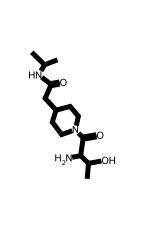 CC(C)NC(=O)CC1CCN(C(=O)C(N)C(C)O)CC1